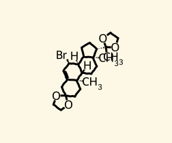 CC1([C@H]2CCC3[C@@H]4[C@H](Br)C=C5CC6(CC[C@]5(C)[C@H]4CC[C@@]32C)OCCO6)OCCO1